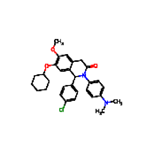 COc1cc2c(cc1OC1CCCCC1)C(c1ccc(Cl)cc1)N(c1ccc(N(C)C)cc1)C(=O)C2